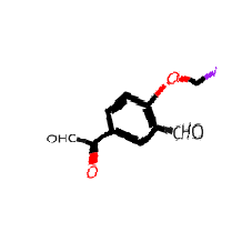 O=CC(=O)c1ccc(OCI)c(C=O)c1